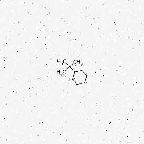 CC(C)(C)[C]1CC[CH]CC1